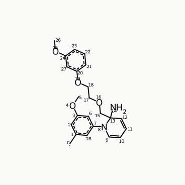 [CH2]c1cc(OC)cc(N2C=CC=CC2(N)COCCOc2cccc(OC)c2)c1